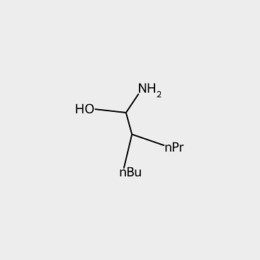 CCCCC(CCC)C(N)O